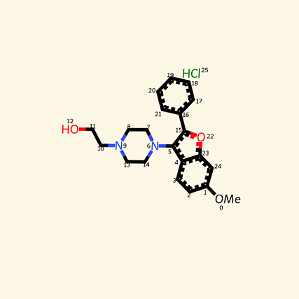 COc1ccc2c(N3CCN(CCO)CC3)c(-c3ccccc3)oc2c1.Cl